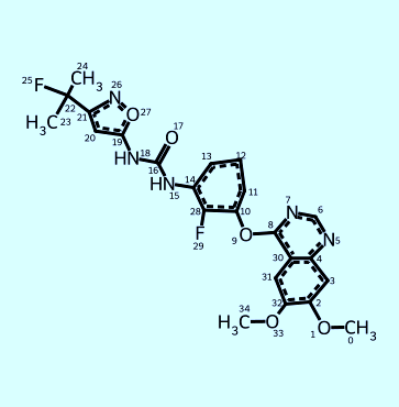 COc1cc2ncnc(Oc3cccc(NC(=O)Nc4cc(C(C)(C)F)no4)c3F)c2cc1OC